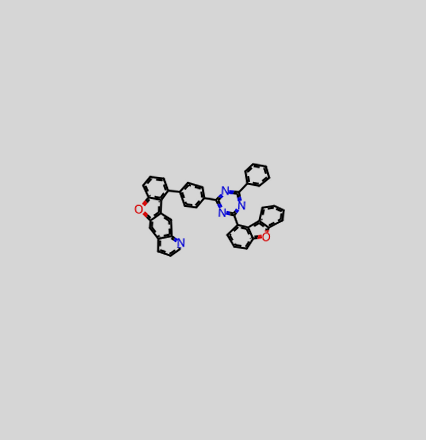 c1ccc(-c2nc(-c3ccc(-c4cccc5oc6cc7cccnc7cc6c45)cc3)nc(-c3cccc4oc5ccccc5c34)n2)cc1